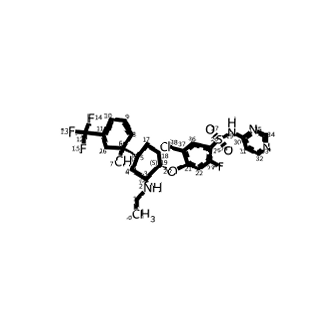 CCN[C@H]1C[C@@H](C2(C)C=CC=C(C(F)(F)F)C2)CC[C@@H]1Oc1cc(F)c(S(=O)(=O)Nc2ccncn2)cc1Cl